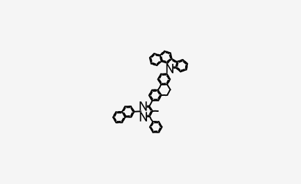 Cc1c(-c2ccccc2)nc(-c2ccc3ccccc3c2)nc1-c1ccc2c(c1)CCc1cc(-n3c4ccccc4c4ccc5ccccc5c43)ccc1-2